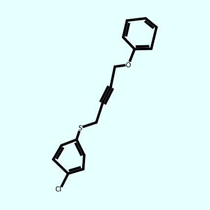 Clc1ccc(SCC#CCOc2ccccc2)cc1